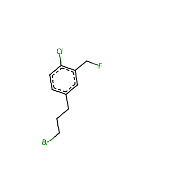 FCc1cc(CCCBr)ccc1Cl